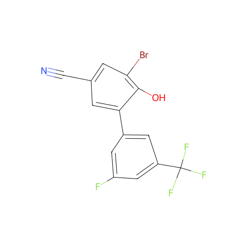 N#Cc1cc(Br)c(O)c(-c2cc(F)cc(C(F)(F)F)c2)c1